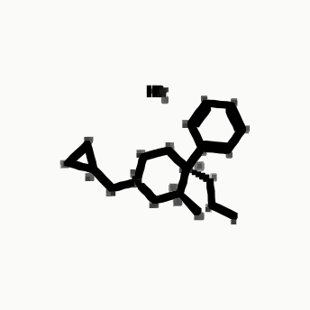 Br.CCC[C@@]1(c2ccccc2)CCN(CC2CC2)C[C@@H]1C